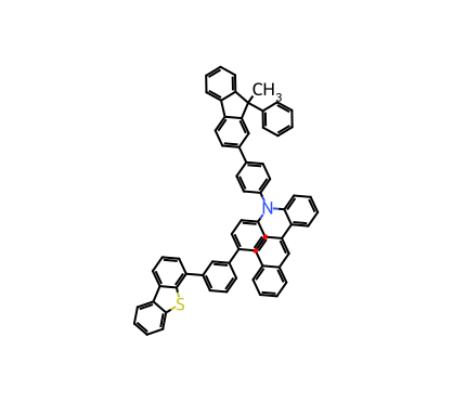 CC1(c2ccccc2)c2ccccc2-c2ccc(-c3ccc(N(c4ccc(-c5cccc(-c6cccc7c6sc6ccccc67)c5)cc4)c4ccccc4-c4ccc5ccccc5c4)cc3)cc21